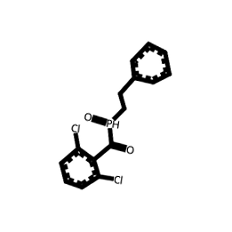 O=C(c1c(Cl)cccc1Cl)[PH](=O)CCc1ccccc1